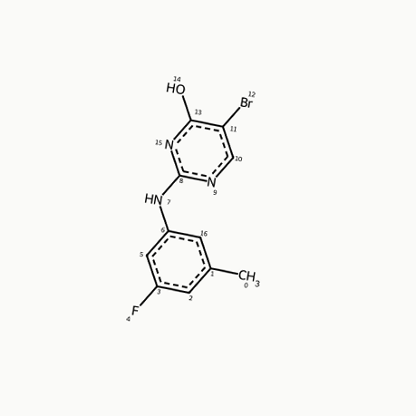 Cc1cc(F)cc(Nc2ncc(Br)c(O)n2)c1